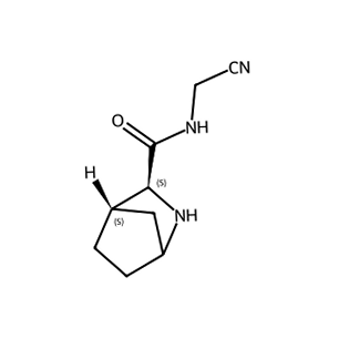 N#CCNC(=O)[C@H]1NC2CC[C@H]1C2